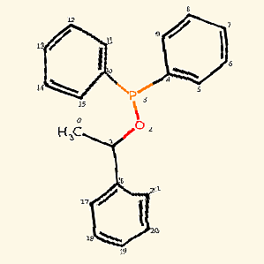 CC(OP(c1ccccc1)c1ccccc1)c1ccccc1